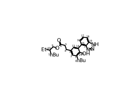 CCCCc1cc(CCC(=O)OCC(CC)CCCC)cc(-c2cccc3[nH]nnc23)c1O